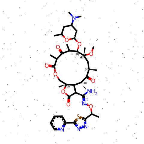 CO[C@]1(C)C[C@@H](C)C(=O)[C@H](C)C2C(/C(N)=N/OC(C)c3nnc(-c4ccccn4)s3)C(=O)O[C@]2(C)COC(=O)C(C)C(=O)C(C)[C@H]1OC1CC(N(C)C)CC(C)O1